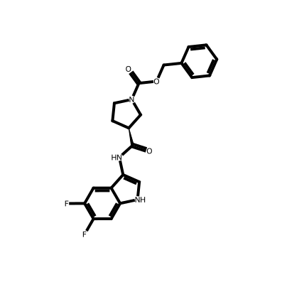 O=C(Nc1c[nH]c2cc(F)c(F)cc12)[C@H]1CCN(C(=O)OCc2ccccc2)C1